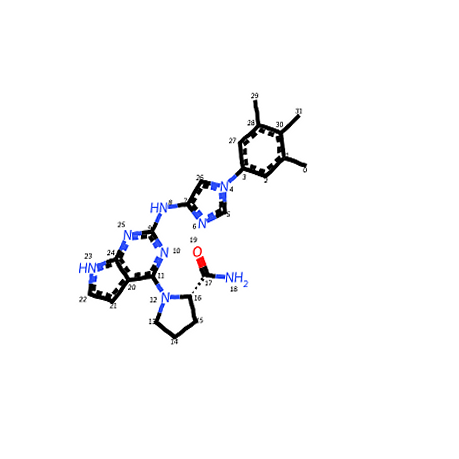 Cc1cc(-n2cnc(Nc3nc(N4CCC[C@H]4C(N)=O)c4cc[nH]c4n3)c2)cc(C)c1C